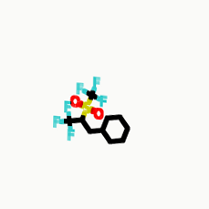 O=S(=O)(C(CC1CCCCC1)C(F)(F)F)C(F)(F)F